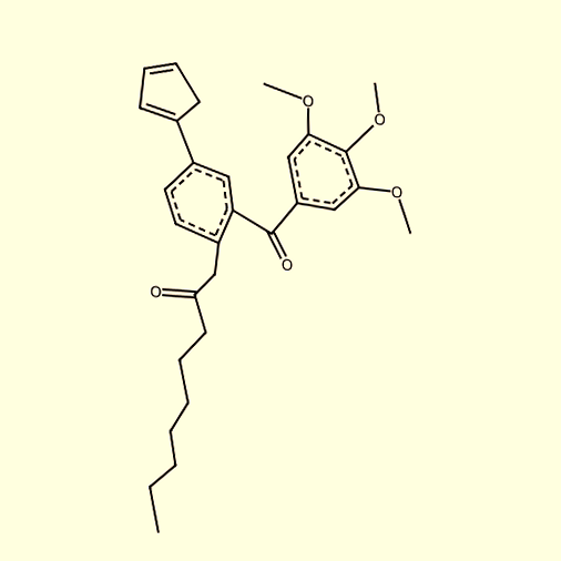 CCCCCCCC(=O)Cc1ccc(C2=CC=CC2)cc1C(=O)c1cc(OC)c(OC)c(OC)c1